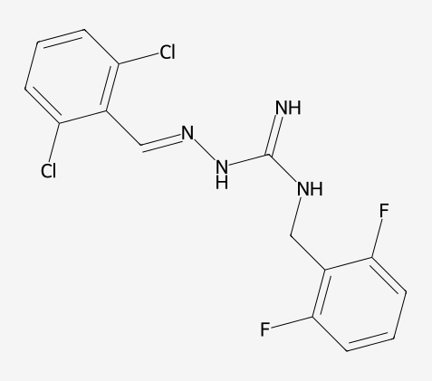 N=C(NCc1c(F)cccc1F)NN=Cc1c(Cl)cccc1Cl